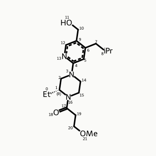 CC[C@@H]1CN(c2cc(CC(C)C)c(CO)cn2)CCN1C(=O)CCOC